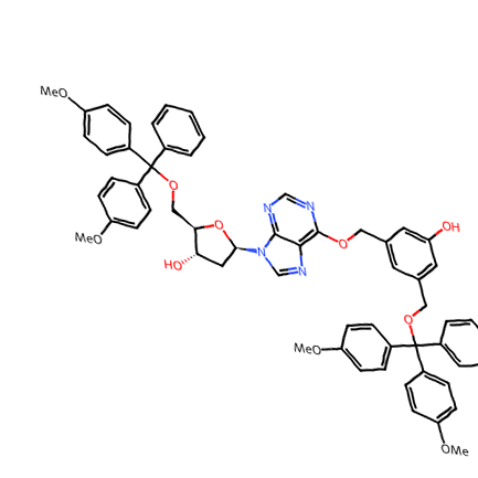 COc1ccc(C(OCc2cc(O)cc(COc3ncnc4c3ncn4[C@H]3C[C@H](O)[C@@H](COC(c4ccccc4)(c4ccc(OC)cc4)c4ccc(OC)cc4)O3)c2)(c2ccccc2)c2ccc(OC)cc2)cc1